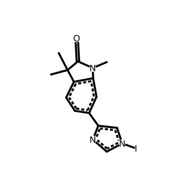 CN1C(=O)C(C)(C)c2ccc(-c3cn(I)cn3)cc21